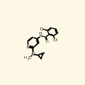 CN(c1cc(NC(=O)c2c(Cl)cccc2Cl)ccn1)C1CC1